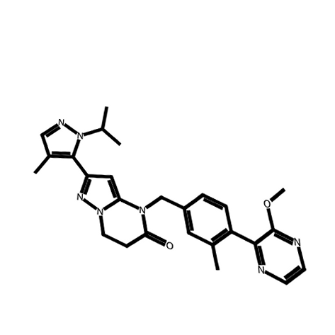 COc1nccnc1-c1ccc(CN2C(=O)CCn3nc(-c4c(C)cnn4C(C)C)cc32)cc1C